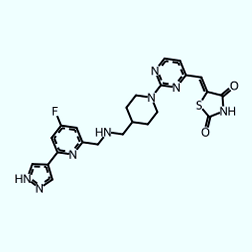 O=C1NC(=O)C(=Cc2ccnc(N3CCC(CNCc4cc(F)cc(-c5cn[nH]c5)n4)CC3)n2)S1